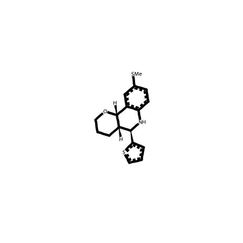 CSc1ccc2c(c1)[C@H]1OCCC[C@H]1[C@H](c1cccs1)N2